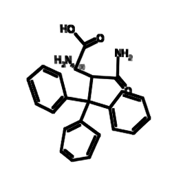 NC(=O)C([C@H](N)C(=O)O)C(c1ccccc1)(c1ccccc1)c1ccccc1